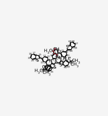 CC(C)c1cc2c3c(c1)N(c1ccc(-c4cc5ccccc5s4)cc1-c1ccccc1)c1c(sc4ccc(C(C)(C)C)cc14)B3c1sc3ccc(C(C)(C)C)cc3c1N2c1ccc(-c2cc3ccccc3s2)cc1-c1ccccc1